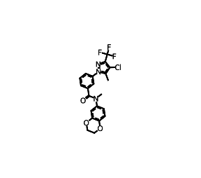 Cc1c(Cl)c(C(F)(F)F)nn1-c1cccc(C(=O)N(C)c2ccc3c(c2)OCCO3)c1